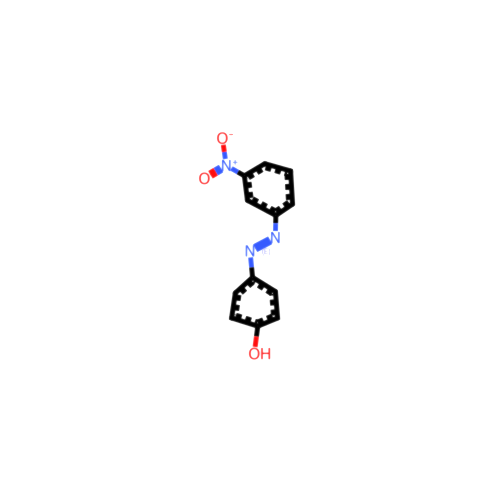 O=[N+]([O-])c1cccc(/N=N/c2ccc(O)cc2)c1